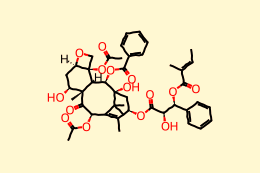 C/C=C(\C)C(=O)O[C@@H](c1ccccc1)[C@@H](O)C(=O)O[C@@H]1C[C@@]2(O)[C@H](OC(=O)c3ccccc3)[C@H]3[C@@]4(OC(C)=O)CO[C@@H]4C[C@H](O)[C@@]3(C)C(=O)[C@H](OC(C)=O)C(=C1C)C2(C)C